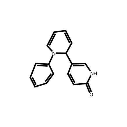 O=c1ccc(C2C=CC=CN2c2ccccc2)c[nH]1